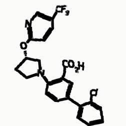 O=C(O)c1cc(-c2ccccc2Cl)ccc1N1CC[C@H](Oc2ccc(C(F)(F)F)cn2)C1